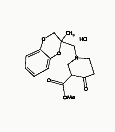 COC(=O)C1CN(CC2(C)COc3ccccc3O2)CCC1=O.Cl